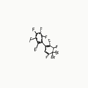 FC1=CC(c2c(F)c(F)c(F)c(F)c2F)=C(F)C(F)C1(Br)Br